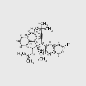 COc1nc2ccc(I)cc2cc1C(C#CC(C)(C)C)C(O)(CCN(C)C)c1cccc2ccccc12